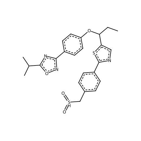 CCC(Oc1ccc(-c2noc(C(C)C)n2)cc1)c1cnc(-c2ccc(C[SH](=O)=O)cc2)s1